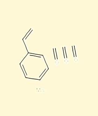 C=Cc1ccccc1.[C]=O.[C]=O.[C]=O.[Mn]